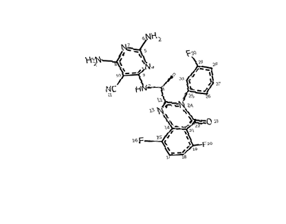 C[C@H](Nc1nc(N)nc(N)c1C#N)c1nc2c(F)ccc(F)c2c(=O)n1-c1cccc(F)c1